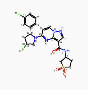 O=C(NC1CCS(=O)(=O)C1)c1cnn2ccc(N3C[C@@H](F)C[C@@H]3c3cccc(F)c3)nc12